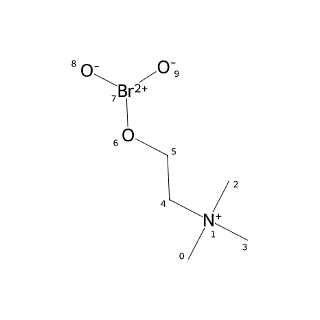 C[N+](C)(C)CCO[Br+2]([O-])[O-]